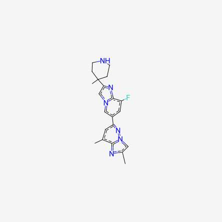 Cc1cn2nc(-c3cc(F)c4nc(C5(C)CCNCC5)cn4c3)cc(C)c2n1